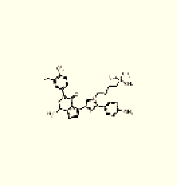 C[C@H]1CN(c2ccc(C(F)(F)F)c(Cl)c2)C(=O)c2c(-c3cn(COCC[Si](C)(C)C)c(-c4ccc(N)nc4)n3)cnn21